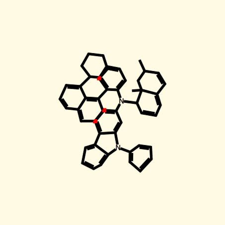 CC1C=CC2=CC=CC(N(c3ccc4c5ccccc5n(-c5ccccc5)c4c3)c3ccccc3C3=c4c(C5CCCCC5)cccc4=CCC3)C2(C)C1